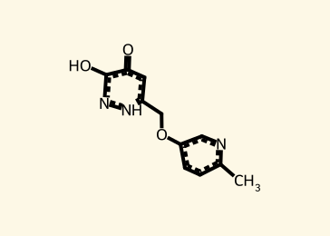 Cc1ccc(OCc2cc(=O)c(O)n[nH]2)cn1